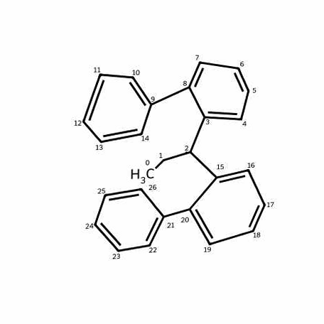 CC[C](c1ccccc1-c1ccccc1)c1ccccc1-c1ccccc1